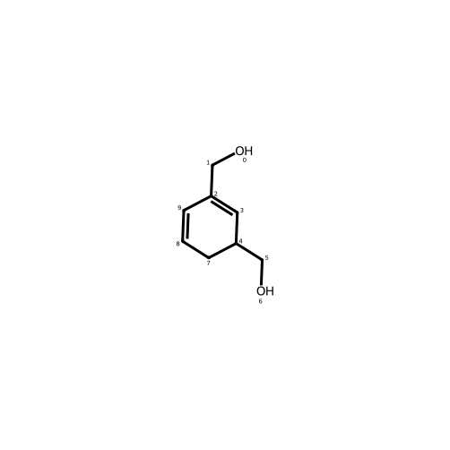 OCC1=CC(CO)CC=C1